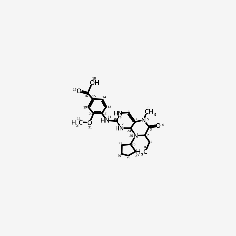 CCC1C(=O)N(C)C2=CNC(Nc3ccc(C(=O)O)cc3OC)NC2N1C1CCCC1